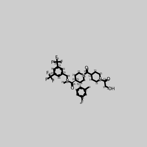 Cc1cc(F)ccc1[C@H]1CN(C(=O)C2CCN(C(=O)CO)CC2)CC[C@@H]1C(=O)N(C)Cc1cc(C(F)(F)F)cc(C(F)(F)F)c1